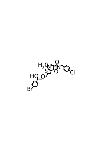 Cn1cc(C(=O)NCc2ccc(Cl)cc2)c(=O)c2cc(COCC(O)c3ccc(Br)cc3)sc21